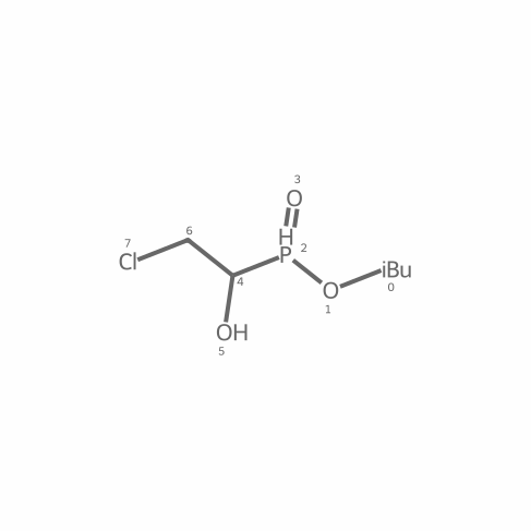 CCC(C)O[PH](=O)C(O)CCl